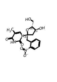 Cc1cn([C@@]2(Cc3ccccc3[N+](=O)[O-])C[C@H](O)[C@@H](CO)O2)c(=O)[nH]c1=O